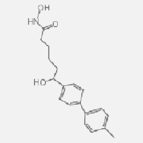 Cc1ccc(-c2ccc(C(O)CCCCC(=O)NO)cc2)cc1